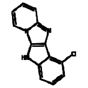 Clc1cccc2[nH]c3c(nc4ccccn43)c12